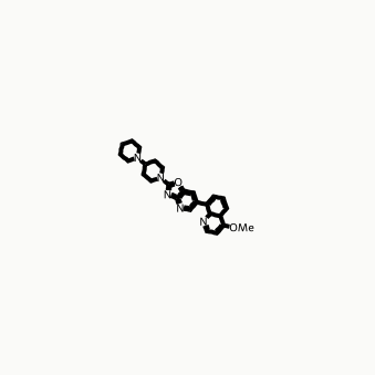 COC1=CC=NC2C(c3cnc4nc(N5CCC(N6CCCCC6)CC5)oc4c3)=CC=CC12